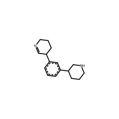 C1=NCCCC1c1cccc(C2CCCNC2)c1